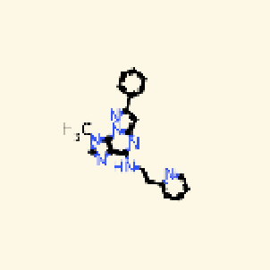 Cn1cnc2c(NCCc3ccccn3)nc3cc(-c4ccccc4)nn3c21